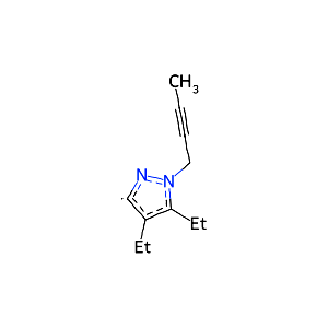 CC#CCn1n[c]c(CC)c1CC